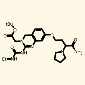 CCNC(=O)NC1=Nc2cc(OCCC(C(N)=O)N3CCCC3)ccc2CN1CC(=O)OC(C)(C)C